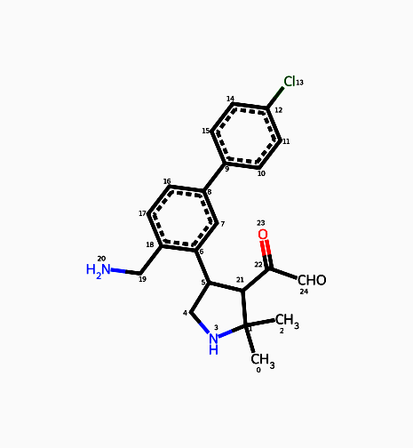 CC1(C)NCC(c2cc(-c3ccc(Cl)cc3)ccc2CN)C1C(=O)C=O